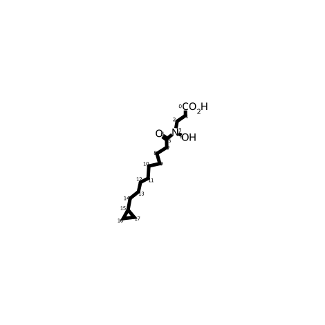 O=C(O)CCN(O)C(=O)CCCCCCCCC1CC1